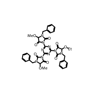 CCOC1C(=O)N(c2nc(N3C(=O)C(OC)N(Cc4ccccc4)C3=O)nc(N3C(=O)C(OC)N(Cc4ccccc4)C3=O)n2)C(=O)N1Cc1ccccc1